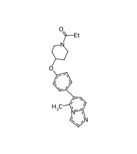 CCC(=O)N1CCC(Oc2ccc(-c3ccc4nccn4c3C)cc2)CC1